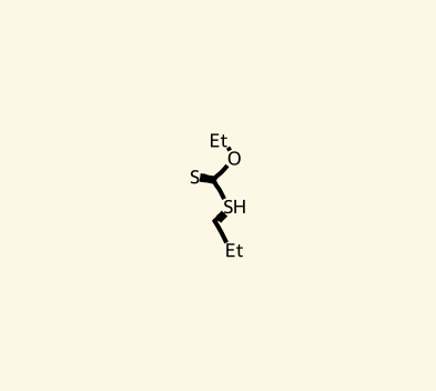 CCC=[SH]C(=S)OCC